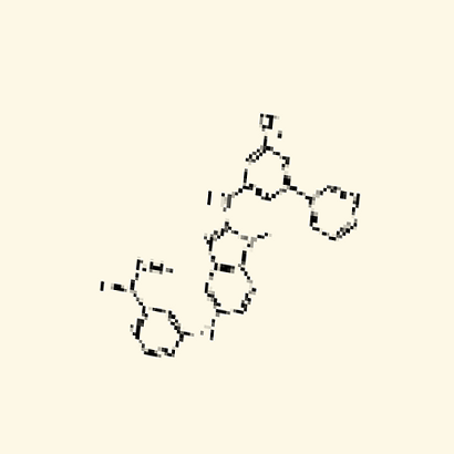 CNC(=O)c1cc(Oc2ccc3c(c2)nc(Nc2cc(-c4cccnc4)cc(C(F)(F)F)c2)n3C)ccn1